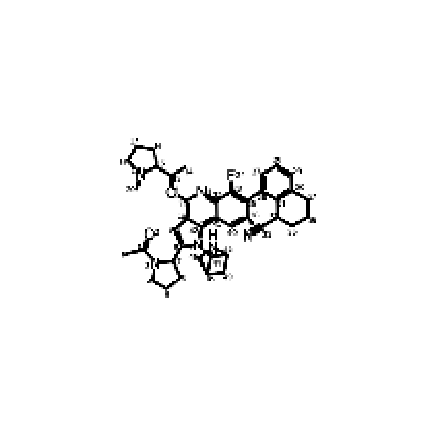 CC(=O)N1CCCC1c1cc2c(OC(C)C3CCCN3C)nc3c(F)c(-c4cccc5c4C(C#N)CCC5)c(C)cc3c2n1C1C2CNC1C2